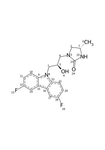 C[C@H]1CN(C[C@@H](O)Cn2c3ccc(F)cc3c3cc(F)ccc32)C(=O)N1